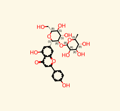 C[C@@H]1O[C@H](O[C@@H]2[C@@H](O)[C@H](O)[C@@H](CO)O[C@H]2c2cc(O)c3c(=O)cc(-c4ccc(O)cc4)oc3c2)[C@H](O)[C@H](O)[C@H]1O